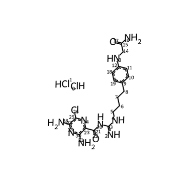 Cl.Cl.N=C(NCCCCc1ccc(NCC(N)=O)cc1)NC(=O)c1nc(Cl)c(N)nc1N